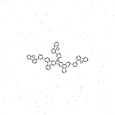 c1cc(-c2ccc3c(c2)c2ccccc2c2cc4c5cc6c7ccccc7c7cc(-c8cccc(-c9cccc%10c9oc9ccccc9%10)c8)ccc7c6cc5n(-c5cccc(-c6cccc7c6oc6ccccc67)c5)c4cc32)cc(-c2cccc3c2oc2ccccc23)c1